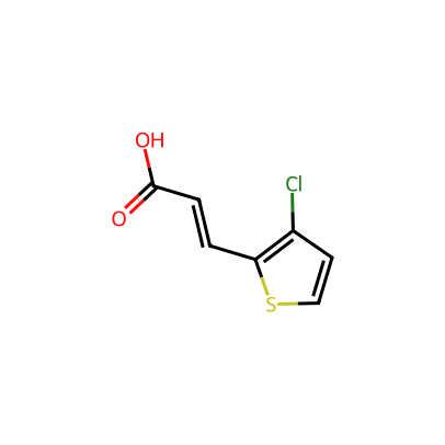 O=C(O)C=Cc1sccc1Cl